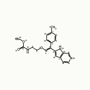 Cc1ccc(C(=NOCCNC(=O)OC(C)(C)C)c2cc3ccncc3[nH]2)cc1